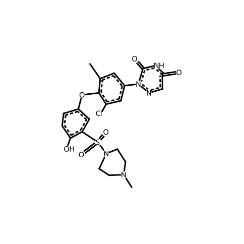 Cc1cc(-n2ncc(=O)[nH]c2=O)cc(Cl)c1Oc1ccc(O)c(S(=O)(=O)N2CCN(C)CC2)c1